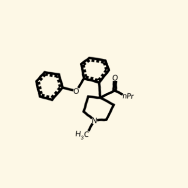 CCCC(=O)C1(c2ccccc2Oc2ccccc2)CCN(C)CC1